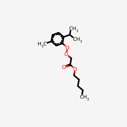 CCCCCOC(=O)COOc1cc(C)ccc1C(C)C